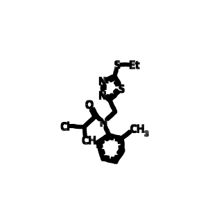 CCSc1nnc(CN(C(=O)C(C)Cl)c2ccccc2C)s1